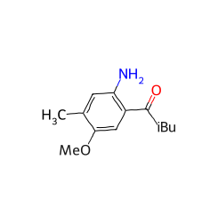 CCC(C)C(=O)c1cc(OC)c(C)cc1N